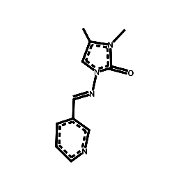 Cc1cn(N=Cc2cccnc2)c(=O)n1C